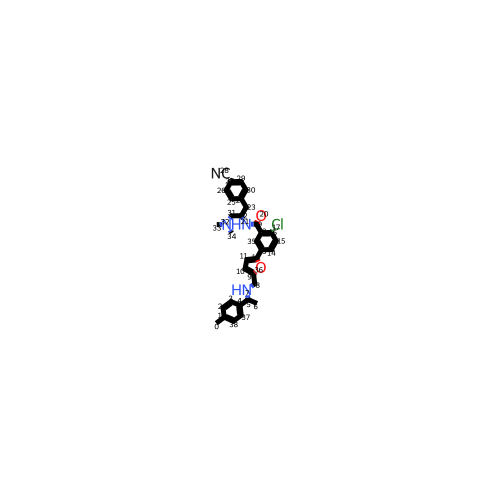 Cc1ccc(C(C)NCc2ccc(-c3ccc(Cl)c(C(=O)NC(Cc4ccc(C#N)cc4)CN(C)C)c3)o2)cc1